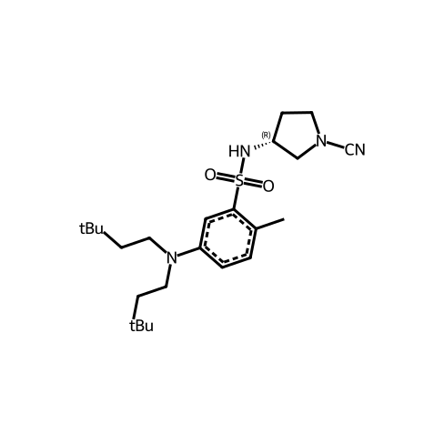 Cc1ccc(N(CCC(C)(C)C)CCC(C)(C)C)cc1S(=O)(=O)N[C@@H]1CCN(C#N)C1